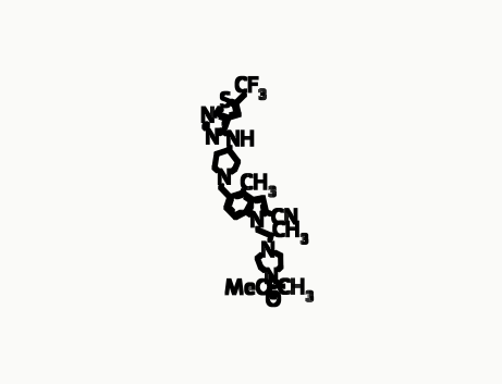 COP(C)(=O)N1CCN([C@@H](C)Cn2c(C#N)cc3c(C)c(CN4CCC(Nc5ncnc6sc(CC(F)(F)F)cc56)CC4)ccc32)CC1